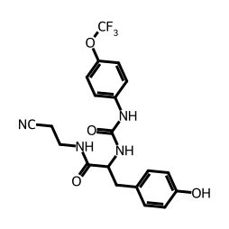 N#CCCNC(=O)C(Cc1ccc(O)cc1)NC(=O)Nc1ccc(OC(F)(F)F)cc1